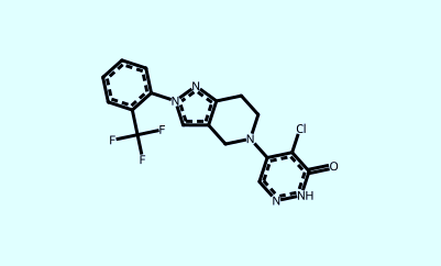 O=c1[nH]ncc(N2CCc3nn(-c4ccccc4C(F)(F)F)cc3C2)c1Cl